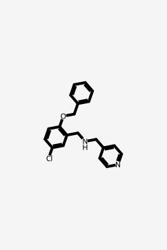 Clc1ccc(OCc2ccccc2)c(CNCc2ccncc2)c1